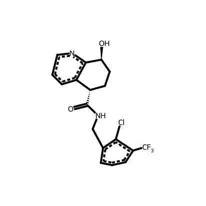 O=C(NCc1cccc(C(F)(F)F)c1Cl)[C@H]1CC[C@H](O)c2ncccc21